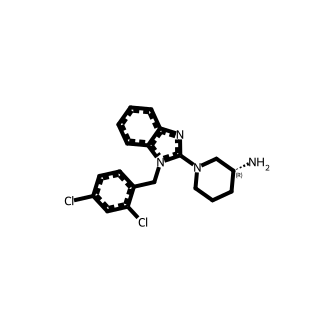 N[C@@H]1CCCN(c2nc3ccccc3n2Cc2ccc(Cl)cc2Cl)C1